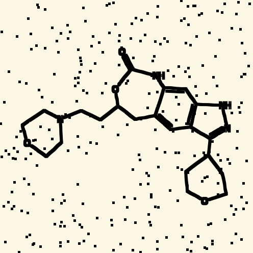 O=C1Nc2cc3[nH]nc(C4CCOCC4)c3cc2CC(CCN2CCOCC2)O1